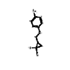 Cc1ccc(OCC2CC2(F)F)cc1